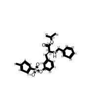 Cc1ccc(S(=O)(=O)Oc2cccc(C[C@H](NCc3ccccc3)C(=O)OC(C)C)c2)cc1